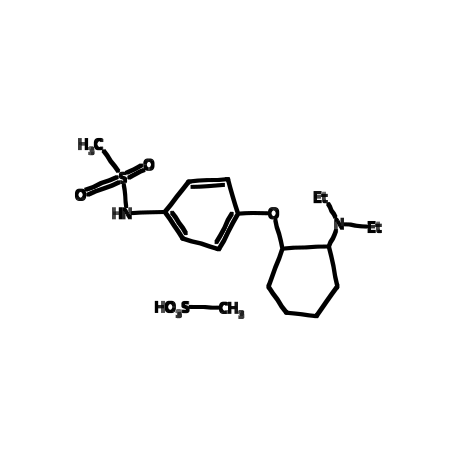 CCN(CC)C1CCCCC1Oc1ccc(NS(C)(=O)=O)cc1.CS(=O)(=O)O